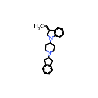 CC=C1CN(C2CCN(C3Cc4ccccc4C3)CC2)c2ccccc21